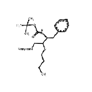 CCCCOC(CN=[N+]=[N-])C(Cc1ccccc1)NC(=O)OC(C)(C)C